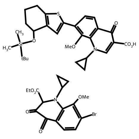 CCOC(=O)C1C(=O)C(=O)c2ccc(Br)c(OC)c2N1C1CC1.COc1c(-c2cc3c(s2)CCCC3O[Si](C)(C)C(C)(C)C)ccc2c(=O)c(C(=O)O)cn(C3CC3)c12